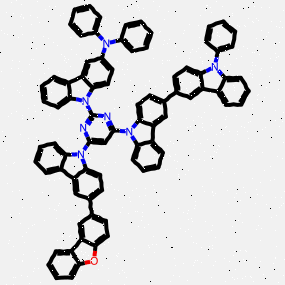 c1ccc(N(c2ccccc2)c2ccc3c(c2)c2ccccc2n3-c2nc(-n3c4ccccc4c4cc(-c5ccc6oc7ccccc7c6c5)ccc43)cc(-n3c4ccccc4c4cc(-c5ccc6c(c5)c5ccccc5n6-c5ccccc5)ccc43)n2)cc1